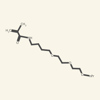 C=C(C)C(=O)NCCCCOCCOCCOCCC